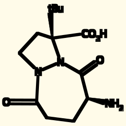 CC(C)(C)[C@]1(C(=O)O)CCN2C(=O)CC[C@H](N)C(=O)N21